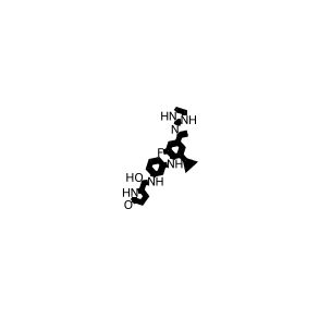 C=C(N=C1NCCN1)c1cc(F)c(Nc2cccc(N[C@H](O)C3CCC(=O)N3)c2)c(C2CC2)c1